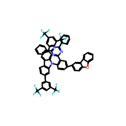 FC(F)(F)c1cc(-c2ccc3c4ccc(-c5cc(C(F)(F)F)cc(C(F)(F)F)c5)cc4n(-c4ccc(-c5ccc6oc7ccccc7c6c5)cc4-c4nc(-c5ccccc5)nc(-c5ccccc5)n4)c3c2)cc(C(F)(F)F)c1